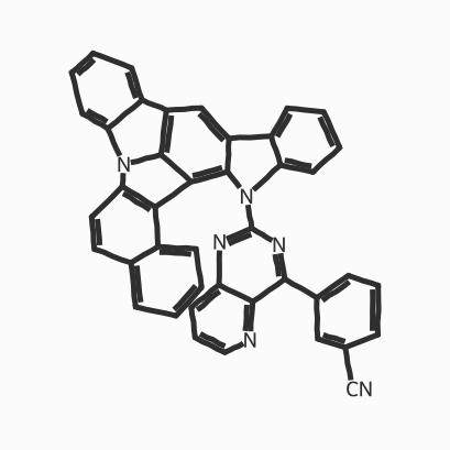 N#Cc1cccc(-c2nc(-n3c4ccccc4c4cc5c6ccccc6n6c7ccc8ccccc8c7c(c43)c56)nc3cccnc23)c1